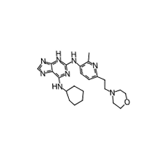 Cc1nc(CCN2CCOCC2)ccc1Nc1nc(NC2CCCCC2)c2ncnc-2[nH]1